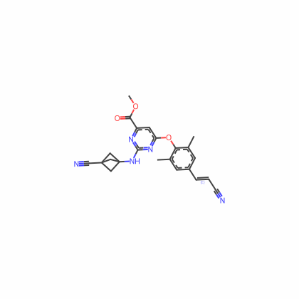 COC(=O)c1cc(Oc2c(C)cc(/C=C/C#N)cc2C)nc(NC23CC(C#N)(C2)C3)n1